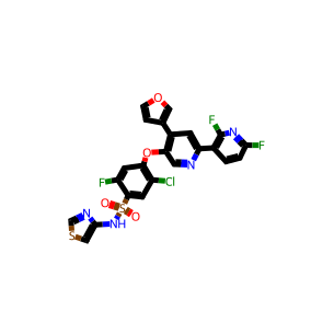 O=S(=O)(Nc1cscn1)c1cc(Cl)c(Oc2cnc(-c3ccc(F)nc3F)cc2-c2ccoc2)cc1F